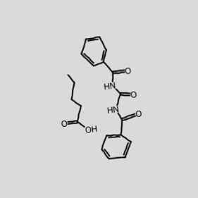 CCCCC(=O)O.O=C(NC(=O)c1ccccc1)NC(=O)c1ccccc1